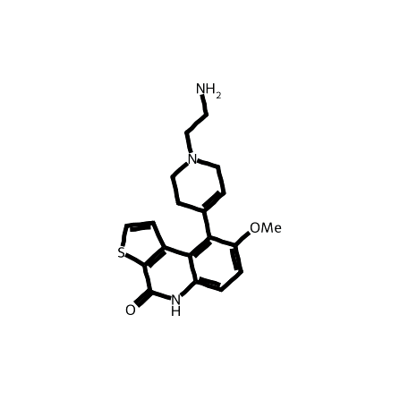 COc1ccc2[nH]c(=O)c3sccc3c2c1C1=CCN(CCN)CC1